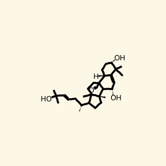 C[C@H](C/C=C/C(C)(C)O)C1CC[C@@]2(C)C3[C@@H](O)C=C4[C@@H](CC[C@H](O)C4(C)C)C3(C=O)CCC12C